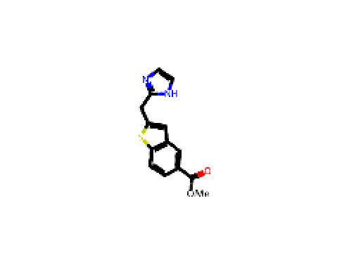 COC(=O)c1ccc2sc(Cc3ncc[nH]3)cc2c1